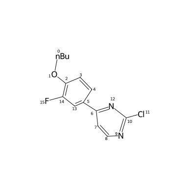 CCCCOc1ccc(-c2ccnc(Cl)n2)cc1F